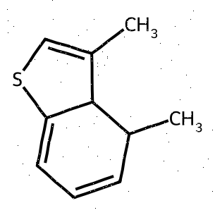 CC1=CSC2=CC=CC(C)C12